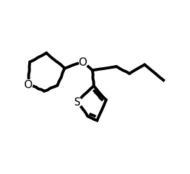 CCCCC(OC1CCOCC1)c1cccs1